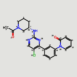 CC(=O)N1CCC[C@H](Nc2ncc(Cl)c(-c3cccc(-n4ccccc4=O)c3)n2)C1